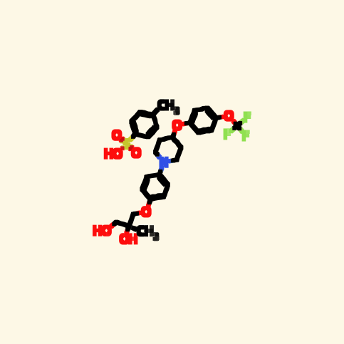 C[C@@](O)(CO)COc1ccc(N2CCC(Oc3ccc(OC(F)(F)F)cc3)CC2)cc1.Cc1ccc(S(=O)(=O)O)cc1